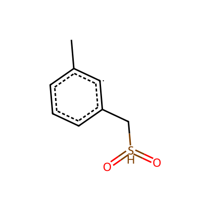 Cc1[c]c(C[SH](=O)=O)ccc1